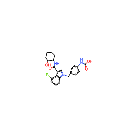 O=C(O)Nc1ccc(Cn2cc(C(=O)NC3CCCCC3O)c3c(F)cccc32)cc1